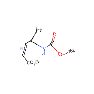 CCOC(=O)/C=C\C(CC)NC(=O)OC(C)(C)C